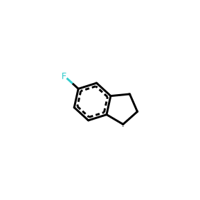 Fc1ccc2c(c1)CC[CH]2